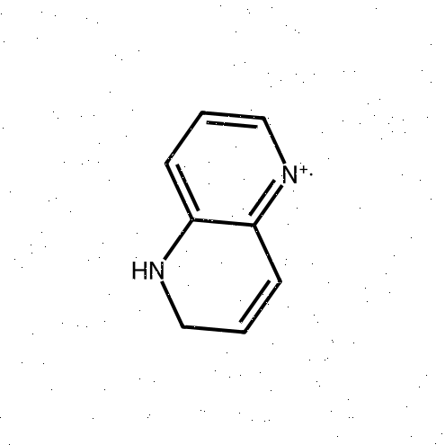 C1=C[N+]=C2C=CCNC2=C1